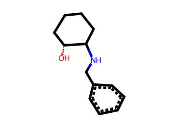 O[C@@H]1CCCCC1NCc1ccccc1